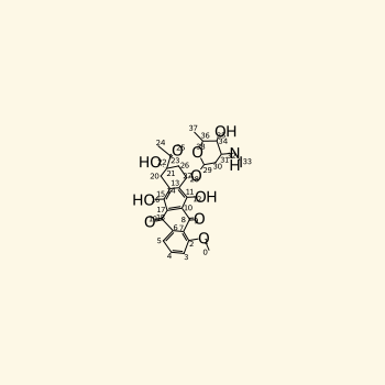 COc1cccc2c1C(=O)c1c(O)c3c(c(O)c1C2=O)C[C@@](O)(C(C)=O)C[C@@H]3OC1CC(NI)C(O)C(C)O1